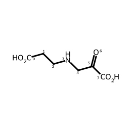 O=C(O)CCNCC(=O)C(=O)O